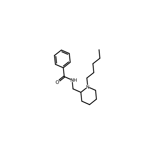 CCCCCN1CCCCC1CNC(=O)c1ccccc1